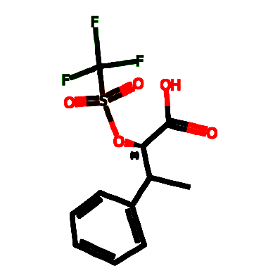 CC(c1ccccc1)[C@@H](OS(=O)(=O)C(F)(F)F)C(=O)O